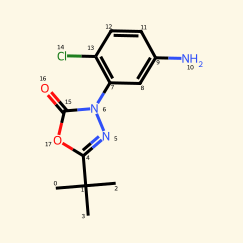 CC(C)(C)c1nn(-c2cc(N)ccc2Cl)c(=O)o1